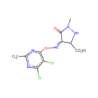 CCOC(=O)C1NN(C)C(=O)C1=NOc1nc(C(Cl)(Cl)Cl)nc(Cl)c1Cl